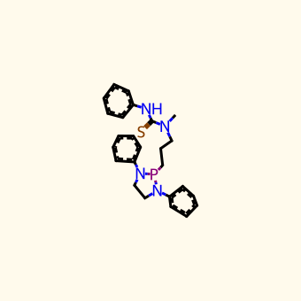 CN(CCCP1N(c2ccccc2)CCN1c1ccccc1)C(=S)Nc1ccccc1